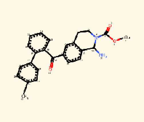 CC(C)(C)OC(=O)N1CCc2cc(C(=O)c3ccccc3-c3ccc(C(F)(F)F)cc3)ccc2C1N